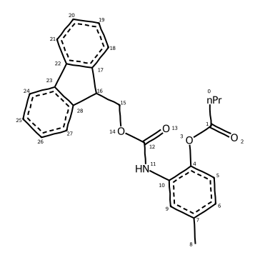 CCCC(=O)Oc1ccc(C)cc1NC(=O)OCC1c2ccccc2-c2ccccc21